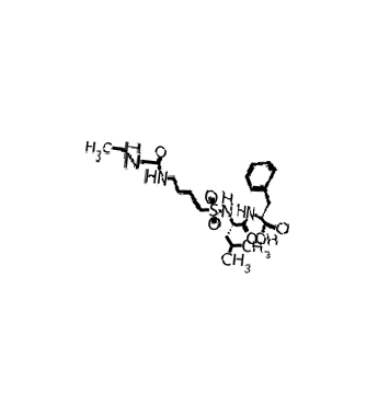 CCNC(=O)NCCCCS(=O)(=O)N[C@@H](CC(C)C)C(=O)N[C@@H](Cc1ccccc1)C(=O)O